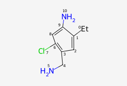 [CH2]Cc1cc(CN)c(Cl)cc1N